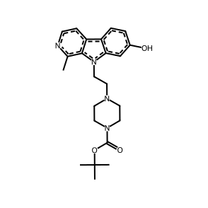 Cc1nccc2c3ccc(O)cc3n(CCN3CCN(C(=O)OC(C)(C)C)CC3)c12